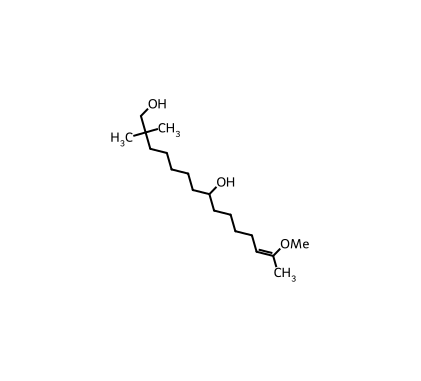 CO/C(C)=C\CCCCC(O)CCCCCC(C)(C)CO